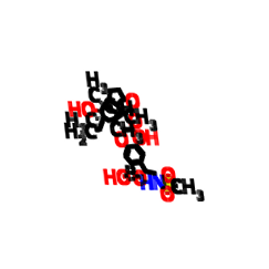 C=C[C@]1(C)C[C@@H](C(Oc2ccc3c(c2)B(O)OC3CNS(C)(=O)=O)C(=O)O)[C@@]2(C)[C@H](C)CC[C@]3(CCC(=O)[C@H]32)[C@@H](C)[C@@H]1O